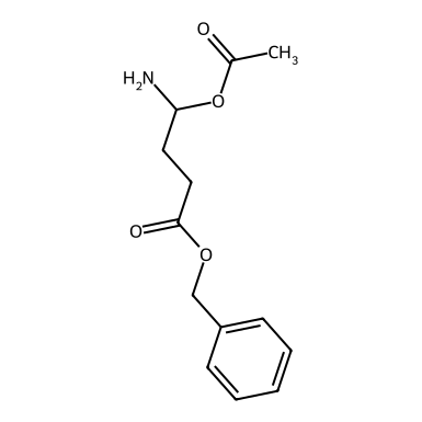 CC(=O)OC(N)CCC(=O)OCc1ccccc1